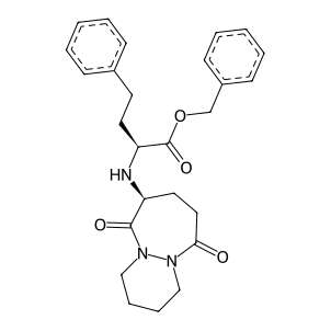 O=C(OCc1ccccc1)[C@H](CCc1ccccc1)N[C@H]1CCC(=O)N2CCCCN2C1=O